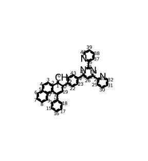 C=C1c2ccc3ccccc3c2C(c2ccccc2)=CC1c1ccc(-c2cc(-c3ccccn3)nc(-c3ccccn3)n2)cc1